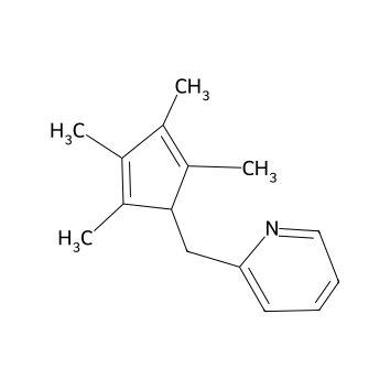 CC1=C(C)C(Cc2ccccn2)C(C)=C1C